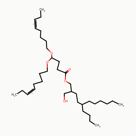 C[CH]CCCCC(CCCC)CCC(CO)COC(=O)CCC(OCCCC/C=C\CC)OCCCC/C=C\CC